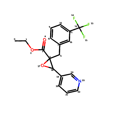 CCOC(=O)C1(Cc2cccc(C(F)(F)F)c2)OC1c1cccnc1